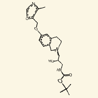 Cc1ncoc1COc1ccc2c(c1)CCN(C[C@H](O)CNC(=O)OC(C)(C)C)C2